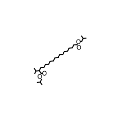 CC(C)COC(=O)CCCCCCCCCCCCCCCC(C(=O)OCC(C)C)C(C)C